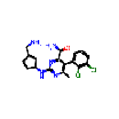 Cc1nc(NC2CCC(CN)C2)nc(C(N)=O)c1-c1cccc(Cl)c1Cl